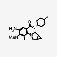 CNc1c(N)cc(C(=O)N[C@H]2CC[C@H](C)CC2)c(N2CC3CC3C2)c1C